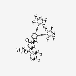 NCC(N)C(=O)NC(CN)C(=O)Nc1ccc(C#Cc2c(F)c(F)nc(F)c2F)c(C#Cc2c(F)c(F)nc(F)c2F)c1